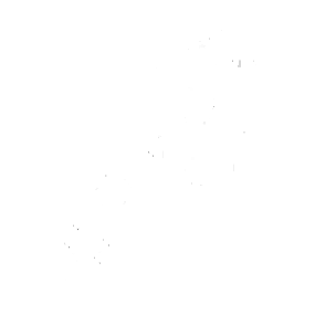 CC(=O)NC1C(O[C@@H]2OC(C(=O)NCc3ccc(-c4nnc(C)nn4)cc3)[C@@H](OC(C)C)C(O)C2O)[C@H](O)C(CO)O[C@H]1C(C)(C)C